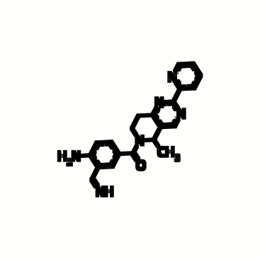 CC1c2cnc(-c3ccccn3)nc2CCN1C(=O)c1ccc(N)c(C=N)c1